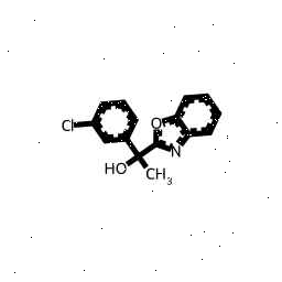 CC(O)(c1cccc(Cl)c1)c1nc2ccccc2o1